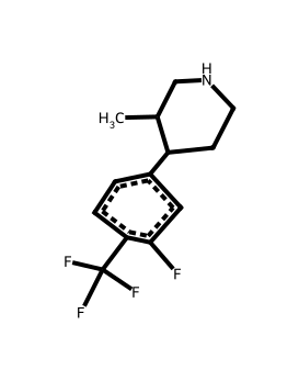 CC1CNCCC1c1ccc(C(F)(F)F)c(F)c1